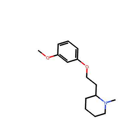 COc1cccc(OCCC2CCCCN2C)c1